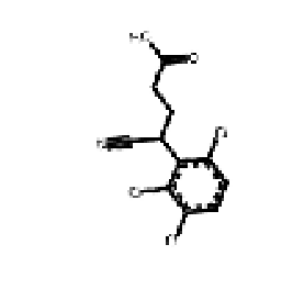 N#CC(CCC(=O)O)c1c(Cl)ccc(Cl)c1Cl